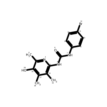 Cc1nc(NC(=O)Nc2ccc(Br)cc2)c(C)c(C)c1O